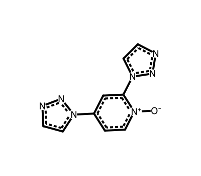 [O-][n+]1ccc(-n2ccnn2)cc1-n1ccnn1